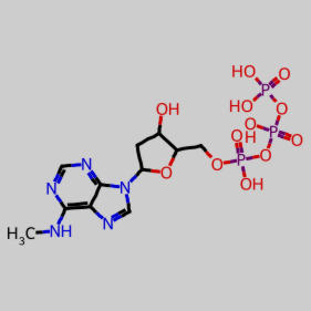 CNc1ncnc2c1ncn2C1CC(O)C(COP(=O)(O)OP(=O)(O)OP(=O)(O)O)O1